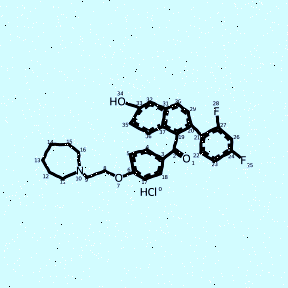 Cl.O=C(c1ccc(OCCN2CCCCCC2)cc1)c1c(-c2ccc(F)cc2F)ccc2cc(O)ccc12